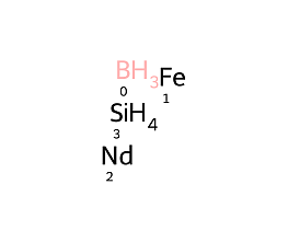 B.[Fe].[Nd].[SiH4]